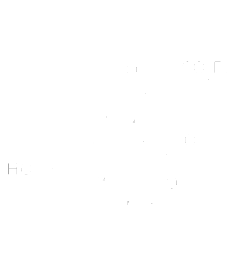 CCOC(=O)CC(=O)CCCCCO.O=C1CCCCCO1